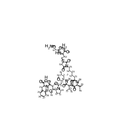 CC[C@H](C)[C@@H]([C@@H](CC(=O)N1CCC[C@H]1[C@H](OC)[C@@H](C)C(=O)NC(Cc1ccccc1)C(=O)O)OC)N(C)C(=O)[C@H](NC(=O)[C@H](C(C)C)N(C)C(=O)CCCCCN1C(=O)CC(SCC(NC(=O)CON)C(N)=O)C1=O)C(C)C